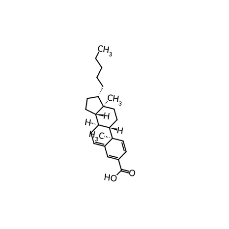 CCCCC[C@H]1CC[C@H]2[C@@H]3CC=C4C=C(C(=O)O)C=C[C@]4(C)[C@H]3CC[C@]12C